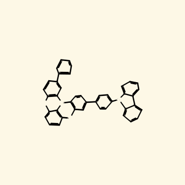 c1ccc(-c2ccc3c(c2)B2c4ccc(-c5ccc(-n6c7ccccc7c7ccccc76)cc5)cc4Oc4cccc(c42)O3)cc1